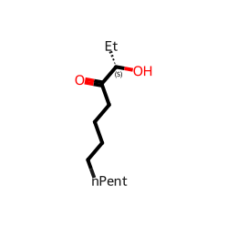 CCCCCCCCCC(=O)[C@@H](O)CC